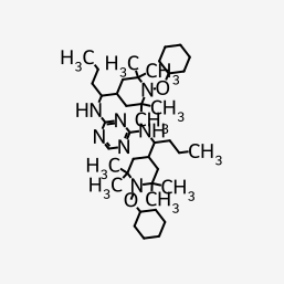 CCCC(Nc1ncnc(NC(CCC)C2CC(C)(C)N(OC3CCCCC3)C(C)(C)C2)n1)C1CC(C)(C)N(OC2CCCCC2)C(C)(C)C1